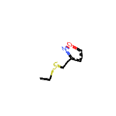 CCSCc1ccon1